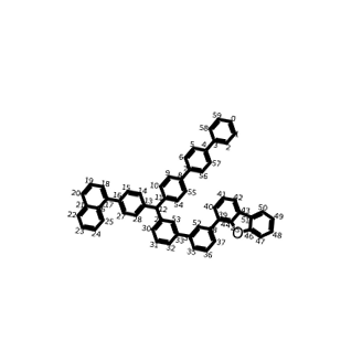 c1ccc(-c2ccc(-c3ccc(C(c4ccc(-c5cccc6ccccc56)cc4)c4cccc(-c5cccc(-c6cccc7c6oc6ccccc67)c5)c4)cc3)cc2)cc1